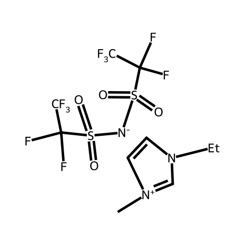 CCn1cc[n+](C)c1.O=S(=O)([N-]S(=O)(=O)C(F)(F)C(F)(F)F)C(F)(F)C(F)(F)F